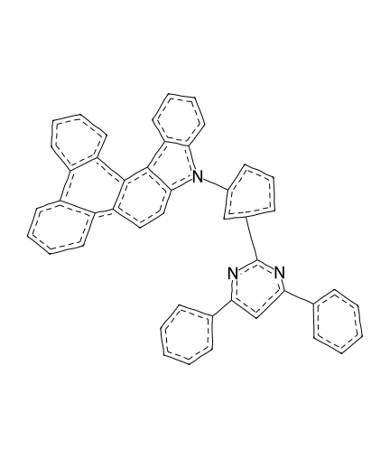 c1ccc(-c2cc(-c3ccccc3)nc(-c3cccc(-n4c5ccccc5c5c6c7ccccc7c7ccccc7c6ccc54)c3)n2)cc1